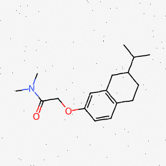 CC(C)C1CCc2ccc(OCC(=O)N(C)C)cc2C1